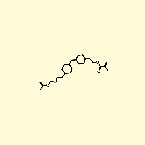 C=C(C)OCOCCC1CCC(CC2CCC(CCOC(=O)C(=C)C)CC2)CC1